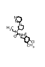 CCN(C(=O)NCc1cc(C)c(Cl)cc1F)[C@@H]1CCCN(c2cccnn2)C1